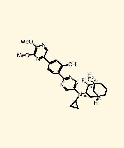 COc1ncc(-c2ccc(-c3ncc(N(C4CC4)[C@@H]4C[C@H]5CCC[C@](C)(C5)[C@@H]4F)nn3)c(O)c2)nc1OC